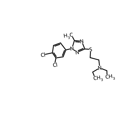 CCN(CC)CCSc1nc(C)n(-c2ccc(Cl)c(Cl)c2)n1